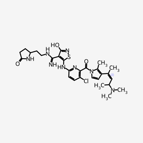 C/C(=C/C(C)N(C)C)c1ccn(C(=O)c2nc(Nc3snc(O)c3C(=N)NCCC3CCC(=O)N3)ccc2Cl)c1C